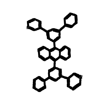 c1ccc(-c2cc(-c3cccnc3)cc(-c3c4ccccc4c(-c4cc(-c5ccccc5)cc(-c5cccnc5)c4)c4ccccc34)c2)cc1